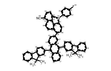 CC1(C)c2ccccc2-c2ccc(-c3c4ccccc4c(-c4ccc5c(c4)C(C)(C)c4ccccc4-5)c4cc(-c5ccc6c7c5ccc5c(C#N)ccc(c57)n6-c5ccc(F)cc5)ccc34)cc21